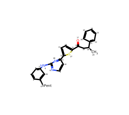 CCCCCc1cccc(Nc2nccc(-c3ccc(C(=O)C[C@H](C)c4ccccc4)s3)n2)c1